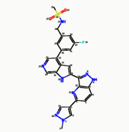 Cn1cc(-c2ccc3[nH]nc(-c4cc5c(-c6cc(F)cc(CNS(C)(=O)=O)c6)cncc5[nH]4)c3n2)cn1